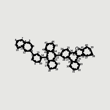 c1cc(-c2ccc3ccccc3c2)cc(-c2c3ccccc3c(-c3ccc4c(c3)c3ccccc3c3c5ccccc5oc43)c3ccccc23)c1